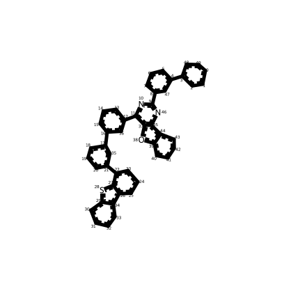 c1ccc(-c2cccc(-c3nc(-c4cccc(-c5cccc(-c6cccc7c6sc6ccccc67)c5)c4)c4oc5ccccc5c4n3)c2)cc1